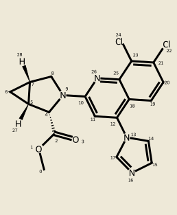 COC(=O)[C@@H]1[C@@H]2C[C@@H]2CN1c1cc(-n2ccnc2)c2ccc(Cl)c(Cl)c2n1